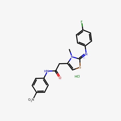 Cl.Cn1c(CC(=O)Nc2ccc([N+](=O)[O-])cc2)cs/c1=N/c1ccc(F)cc1